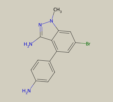 Cn1nc(N)c2c(-c3ccc(N)cc3)cc(Br)cc21